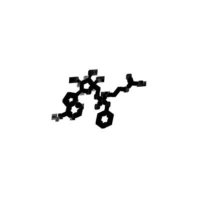 CC(C)(C)C(=O)OCCNP(=O)(OC[C@@]1(C#N)O[C@@H](c2ccc3c(N)ncnn23)[C@H](O)[C@@H]1O)Oc1ccccc1